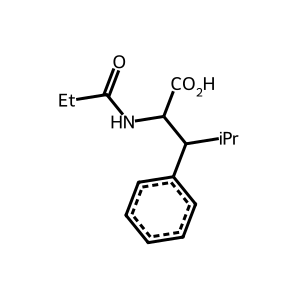 CCC(=O)NC(C(=O)O)C(c1ccccc1)C(C)C